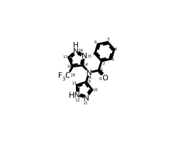 O=C(c1ccccc1)N(c1cn[nH]c1)c1n[nH]cc1C(F)(F)F